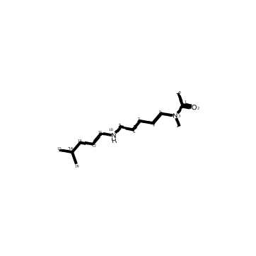 CC(=O)N(C)CCCCCNCCCC(C)C